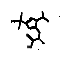 CC(C)n1nc(C(F)(F)F)cc1C[C@H](C)C(=O)O